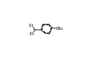 CC[C](CC)c1ccc(C(C)(C)C)cc1